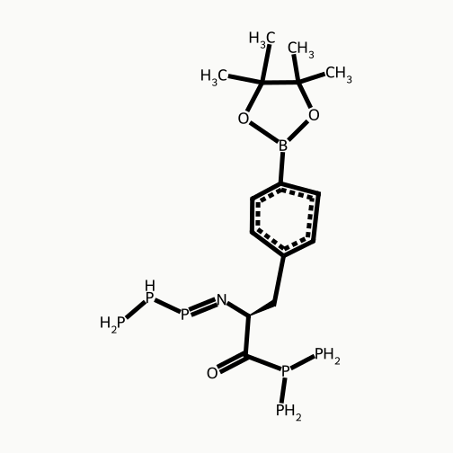 CC1(C)OB(c2ccc(C[C@H](/N=P/PP)C(=O)P(P)P)cc2)OC1(C)C